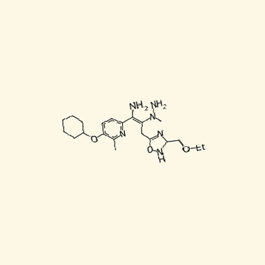 CCOCC1N=C(C/C(=C(/N)c2ccc(OC3CCCCC3)c(C)n2)N(C)N)ON1